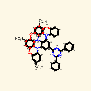 O=S(=O)(O)c1ccc2c(c1)Oc1cc(S(=O)(=O)O)ccc1N2c1cc(-c2nc(-c3ccccc3)nc(-c3ccccc3)n2)cc(N2c3ccccc3Oc3ccccc32)c1N1c2ccccc2Oc2cc(S(=O)(=O)O)ccc21